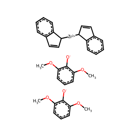 C1=C[CH]([Zr+2][CH]2C=Cc3ccccc32)c2ccccc21.COc1cccc(OC)c1[O-].COc1cccc(OC)c1[O-]